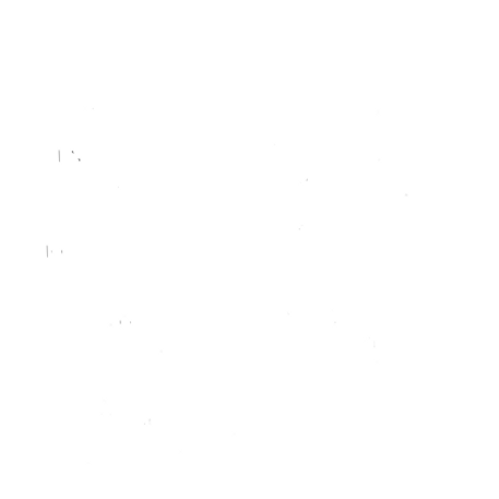 CCCNCC(O)COc1cc(CCC(=O)c2ccc3ccccc3c2)ccc1OC